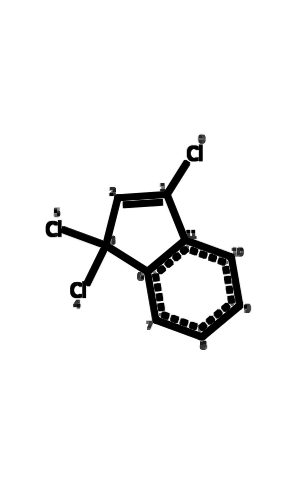 ClC1=CC(Cl)(Cl)c2ccccc21